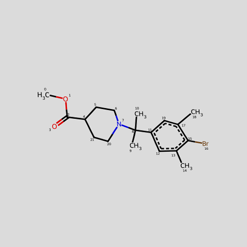 COC(=O)C1CCN(C(C)(C)c2cc(C)c(Br)c(C)c2)CC1